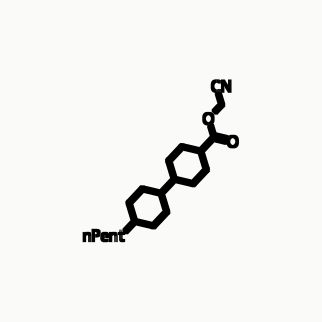 CCCCCC1CCC(C2CCC(C(=O)OCC#N)CC2)CC1